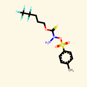 Cc1ccc(S(=O)(=O)ON(N)C(=S)OCCCC(F)(F)C(F)(F)F)cc1